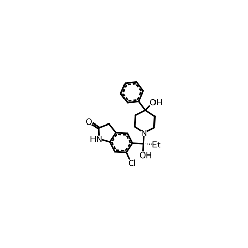 CC[C@](O)(c1cc2c(cc1Cl)NC(=O)C2)N1CCC(O)(c2ccccc2)CC1